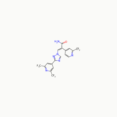 NC(=O)/C(=C/n1cnc(-c2cc(C(F)(F)F)nc(C(F)(F)F)c2)n1)c1ccnc(C(F)(F)F)c1